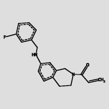 C=CC(=O)N1CCc2ccc(NCc3cccc(F)c3)cc2C1